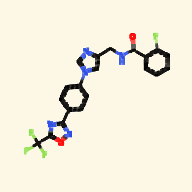 O=C(NCc1cn(-c2ccc(-c3noc(C(F)(F)F)n3)cc2)cn1)c1ccccc1F